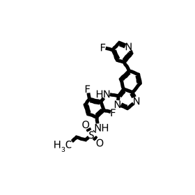 CCCS(=O)(=O)Nc1ccc(F)c(Nc2ncnc3ccc(-c4cncc(F)c4)cc23)c1F